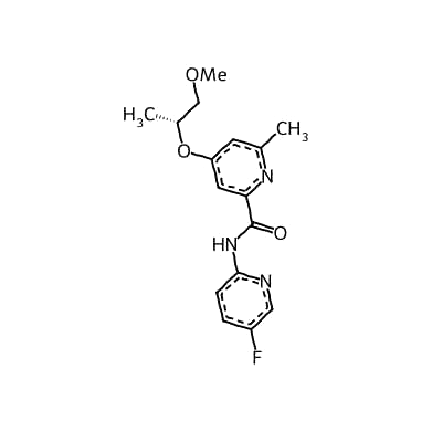 COC[C@@H](C)Oc1cc(C)nc(C(=O)Nc2ccc(F)cn2)c1